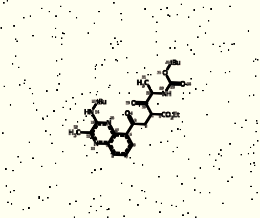 CCOC(=O)C(CC(=O)c1cccc2nc(C)c(NC(C)(C)C)nc12)C(=O)C(C)NC(=O)OC(C)(C)C